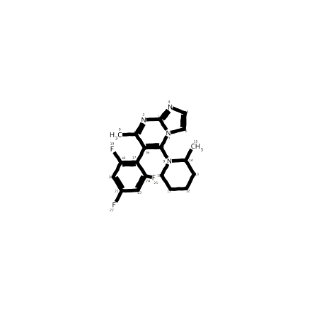 Cc1nc2nccn2c(N2CCCCC2C)c1-c1c(F)cc(F)cc1F